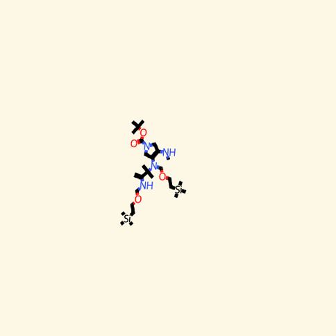 C=C(NCOCC[Si](C)(C)C)C(C)(C)N(COCC[Si](C)(C)C)C1=C(NC)CN(C(=O)OC(C)(C)C)C1